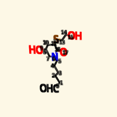 O=CCCCCCN1CC(O)CC(SCCO)C1=O